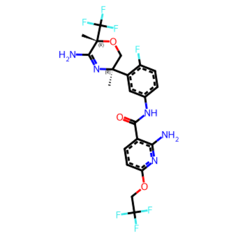 C[C@@]1(c2cc(NC(=O)c3ccc(OCC(F)(F)F)nc3N)ccc2F)CO[C@@](C)(C(F)(F)F)C(N)=N1